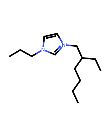 CCCCC(CC)C[n+]1ccn(CCC)c1